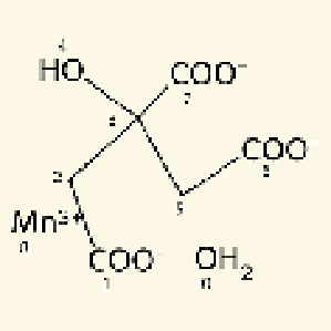 O.O=C([O-])CC(O)(CC(=O)[O-])C(=O)[O-].[Mn+3]